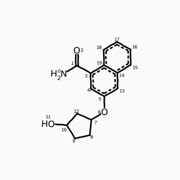 NC(=O)c1[c]c(OC2CCC(O)C2)cc2ccccc12